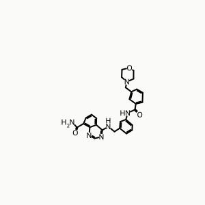 NC(=O)c1cccc2c(NCc3cccc(NC(=O)c4cccc(CN5CCOCC5)c4)c3)ncnc12